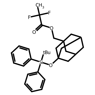 CC(F)(F)C(=O)OCC12CC3CC(C1)CC(O[Si](c1ccccc1)(c1ccccc1)C(C)(C)C)(C3)C2